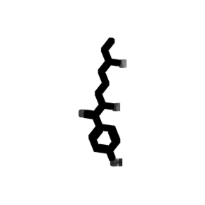 CCC(Cl)CCCC(Cl)C(=O)c1ccc(O)cc1